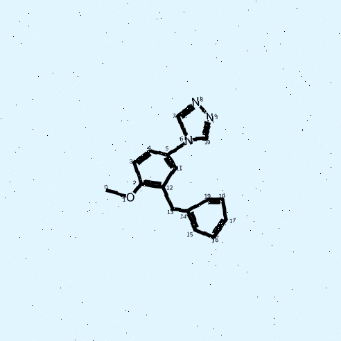 COc1ccc(-n2cnnc2)cc1Cc1c[c]ccc1